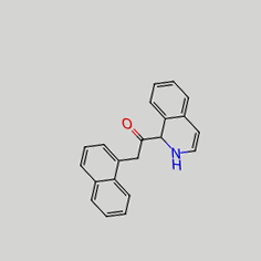 O=C(Cc1cccc2ccccc12)C1NC=Cc2ccccc21